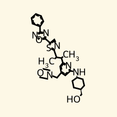 CC(c1cc(CN2CCOCC2)cc(N[C@H]2CC[C@H](CO)CC2)n1)C(C)c1ncc(-c2nc(-c3ccccc3)no2)s1